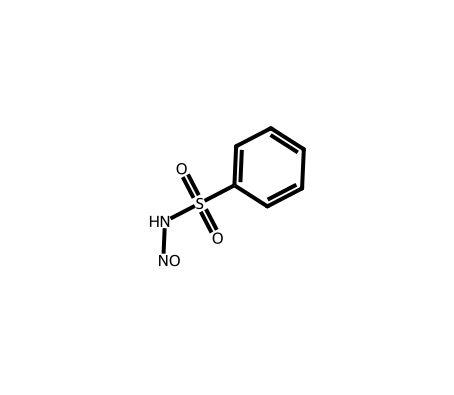 O=NNS(=O)(=O)c1ccccc1